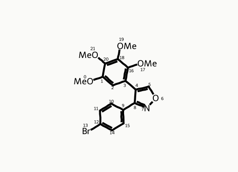 COc1cc(-c2conc2-c2ccc(Br)cc2)c(OC)c(OC)c1OC